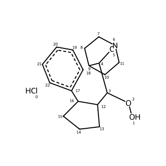 Cl.OOC(C1CN2CCC1CC2)C1CCCC1c1ccccc1